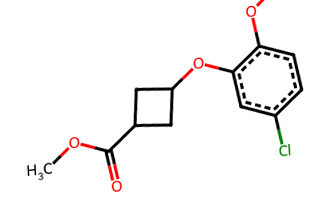 COC(=O)C1CC(Oc2cc(Cl)ccc2OC)C1